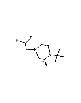 C[C@H]1CN(CC(F)F)CCN1C(C)(C)C